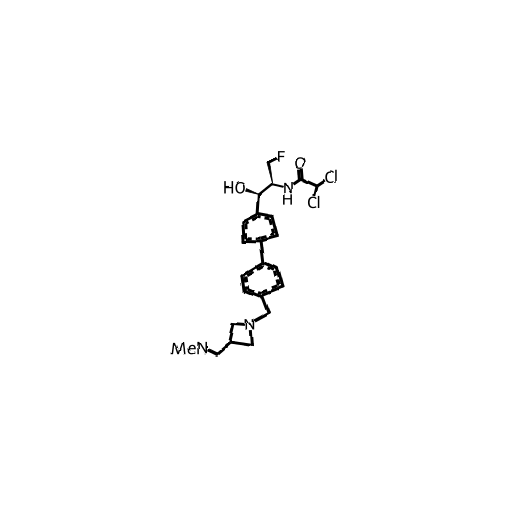 CNCC1CN(Cc2ccc(-c3ccc([C@@H](O)[C@@H](CF)NC(=O)C(Cl)Cl)cc3)cc2)C1